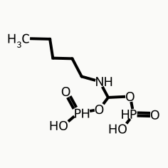 CCCCCNC(O[PH](=O)O)O[PH](=O)O